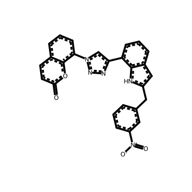 O=c1ccc2cccc(-n3cc(-c4cccc5cc(Cc6cccc([N+](=O)[O-])c6)[nH]c45)nn3)c2o1